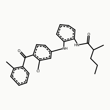 CCCC(C)C(=O)Nc1ccccc1Nc1ccc(C(=O)c2ccccc2C)c(Cl)c1